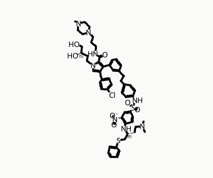 CN(C)CC[C@H](CSc1ccccc1)Nc1ccc(S(=O)(=O)Nc2ccc(CCc3cccc(-c4c(-c5ccc(Cl)cc5)cn(CC[C@H](O)CO)c4C(=O)NCCCN4CCN(C)CC4)c3)cc2)cc1[N+](=O)[O-]